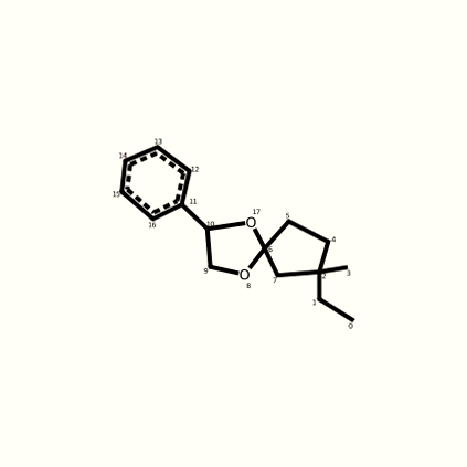 CCC1(C)CCC2(C1)OCC(c1ccccc1)O2